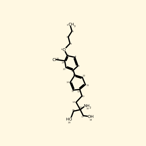 CCCCOc1ccc(-c2ccc(CCC(N)(CO)CO)cc2)cc1Cl